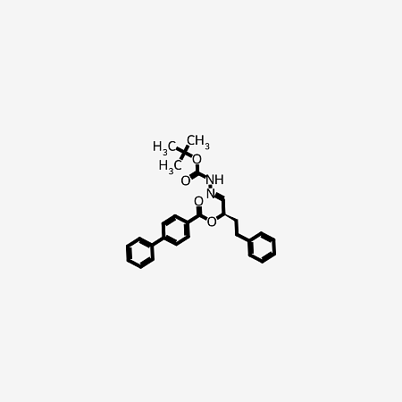 CC(C)(C)OC(=O)NN=C[C@@H](CCc1ccccc1)OC(=O)c1ccc(-c2ccccc2)cc1